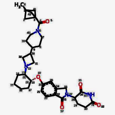 CC12CC(C(=O)N3CCC(C4CN([C@@H]5CCCC[C@H]5Oc5ccc6c(c5)CN(C5CCC(=O)NC5=O)C6=O)C4)CC3)(C1)C2